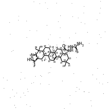 Cc1[nH]nc2c1C[C@@]1(C)C(CC[C@]3(C)C1CC=C1C4CC(C)(C)CC[C@]4(C(=O)NNC(N)=S)CC[C@]13C)C2(C)C